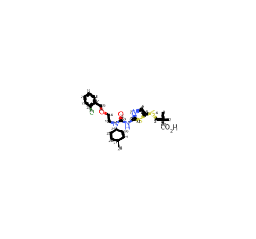 CC(C)(CSc1cnc(NC(=O)N(CCOCc2ccccc2Cl)[C@H]2CC[C@H](C)CC2)s1)C(=O)O